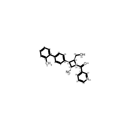 Cc1ccccc1-c1ccc([C@@H]2[C@@H](C#N)N(C(=O)c3cccnc3)[C@@H]2CO)cc1